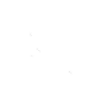 CC(C)[Si](C(C)C)(C(C)C)n1c(Cc2ccc(Br)nc2)cc2cccnc21